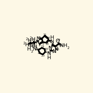 [2H]C([2H])([2H])C([2H])([2H])n1cc2cc(Nc3nc(N[C@H]4CC[C@@H](N)CC4)nnc3C(N)=O)ccc2n1